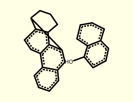 Oc1cccc2ccccc12.c1ccc2c(c1)cc1c3c4c(ccc32)C1CCC4